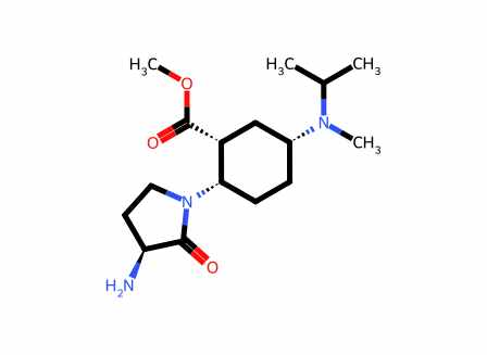 COC(=O)[C@@H]1C[C@H](N(C)C(C)C)CC[C@@H]1N1CC[C@H](N)C1=O